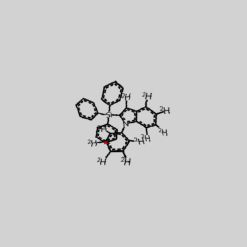 [2H]c1c([2H])c([2H])c(-n2c([Si](c3ccccc3)(c3ccccc3)c3ccccc3)c([2H])c3c([2H])c([2H])c([2H])c([2H])c32)c([2H])c1[2H]